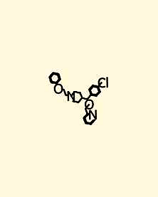 Clc1ccc([C@H](OCc2ccccn2)C2CCN(CCOc3ccccc3)CC2)cc1